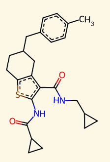 Cc1ccc(CC2CCc3sc(NC(=O)C4CC4)c(C(=O)NCC4CC4)c3C2)cc1